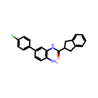 Nc1ccc(-c2ccc(F)cc2)cc1NC(=O)C1Cc2ccccc2C1